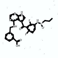 CCC[S+]([O-])Nc1ccc(F)c(C(=O)c2c[nH]c3ncnc(NCc4cccc(C(=O)O)c4)c23)c1F